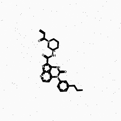 C=CC(=O)N1CCC[C@@H](NC(=O)c2sc3nccc4c3c2NC(=O)N4c2cccc(CCC)c2)C1